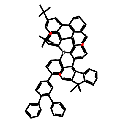 CC(C)(C)c1cc(-c2cccc3cccc(-c4ccccc4N(c4ccc(-c5ccc(-c6ccccc6)c(-c6ccccc6)c5)cc4)c4ccccc4-c4cccc5c4-c4ccccc4C5(C)C)c23)cc(C(C)(C)C)c1